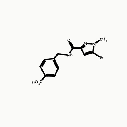 Cn1nc(C(=O)NCc2ccc(C(=O)O)cc2)cc1Br